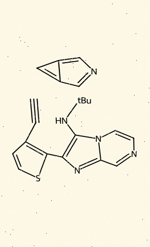 C#Cc1ccsc1-c1nc2cnccn2c1NC(C)(C)C.c1ncc2cc1-2